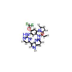 C=CC(=O)Nc1cc(Nc2nccc(-c3cn(C)c4cccnc34)n2)c(OC(F)F)cc1N1CCCC1C